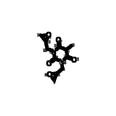 CC1C(=O)N(CC2CO2)C(=O)N(CC2CO2)C1=O